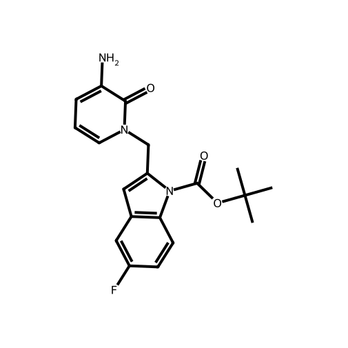 CC(C)(C)OC(=O)n1c(Cn2cccc(N)c2=O)cc2cc(F)ccc21